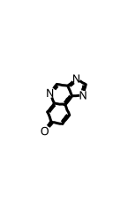 O=C1C=Cc2c3c(cnc2=C1)=NC=N3